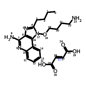 CCCCc1nc2c(N)nc3ccccc3c2n1OCCCCN.O=C(O)/C=C/C(=O)O